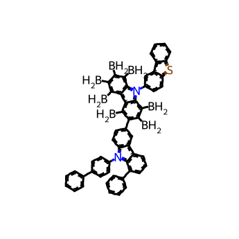 Bc1c(B)c(B)c2c(c1B)c1c(B)c(-c3ccc4c(c3)c3cccc(-c5ccccc5)c3n4-c3ccc(-c4ccccc4)cc3)c(B)c(B)c1n2-c1ccc2sc3ccccc3c2c1